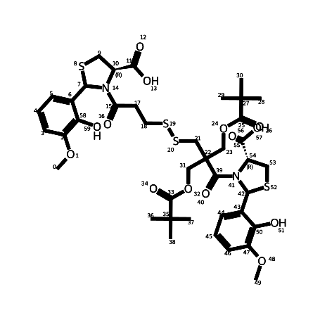 COc1cccc(C2SC[C@@H](C(=O)O)N2C(=O)CCSSCC(COC(=O)C(C)(C)C)(COC(=O)C(C)(C)C)C(=O)N2C(c3cccc(OC)c3O)SC[C@H]2C(=O)O)c1O